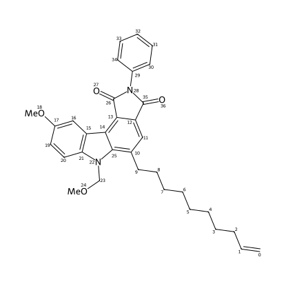 C=CCCCCCCCCc1cc2c(c3c4cc(OC)ccc4n(COC)c13)C(=O)N(c1ccccc1)C2=O